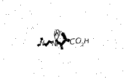 CC(C)CC(C(=O)O)C(C)C(=O)NCCN(C)C